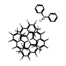 CC[NH+](c1ccccc1)c1ccccc1.Fc1c(F)c(F)c2c([B-](c3c(F)c(F)c(F)c4c(F)c(F)c(F)c(F)c34)(c3c(F)c(F)c(F)c4c(F)c(F)c(F)c(F)c34)c3c(F)c(F)c(F)c4c(F)c(F)c(F)c(F)c34)c(F)c(F)c(F)c2c1F